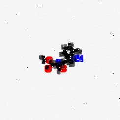 CCOC(=O)c1coc(-c2c[nH]c3c(C)cccc23)n1